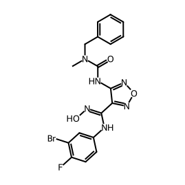 CN(Cc1ccccc1)C(=O)Nc1nonc1/C(=N/O)Nc1ccc(F)c(Br)c1